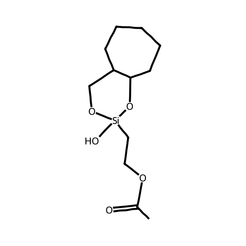 CC(=O)OCC[Si]1(O)OCC2CCCCCC2O1